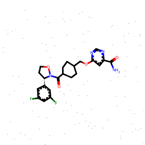 NC(=O)c1cc(OCC2CCC(C(=O)N3OCC[C@H]3c3cc(F)cc(F)c3)CC2)ncn1